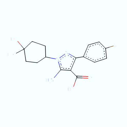 CC1(O)CCC(n2nc(-c3ccc(Br)cc3)c(C(=O)O)c2N)CC1